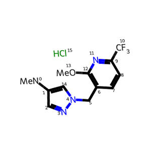 CNc1cnn(Cc2ccc(C(F)(F)F)nc2OC)c1.Cl